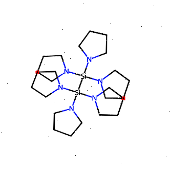 C1CCN([Si](N2CCCC2)(N2CCCC2)[Si](N2CCCC2)(N2CCCC2)N2CCCC2)C1